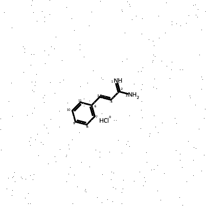 Cl.N=C(N)C=Cc1ccccc1